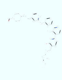 COc1nc(-c2ccnc(-c3cccc(Nc4nccc(CNC5CCN(C(C)=O)CC5)c4F)c3Cl)c2Cl)ccc1CNC1CC(CO)(CO)C1